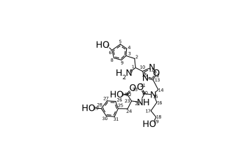 NC(Cc1ccc(O)cc1)c1noc(CN(CCCO)C(=O)NC(Cc2ccc(O)cc2)C(=O)O)n1